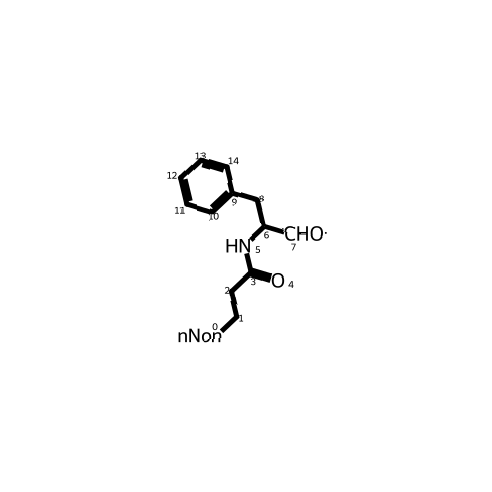 CCCCCCCCCCCC(=O)NC([C]=O)Cc1ccccc1